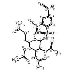 CC(=O)OCC1OC(NS(=O)(=O)c2ccc([N+](=O)[O-])cc2[N+](=O)[O-])C(OC(C)=O)[C@@H](OC(C)=O)[C@@H]1OC(C)=O